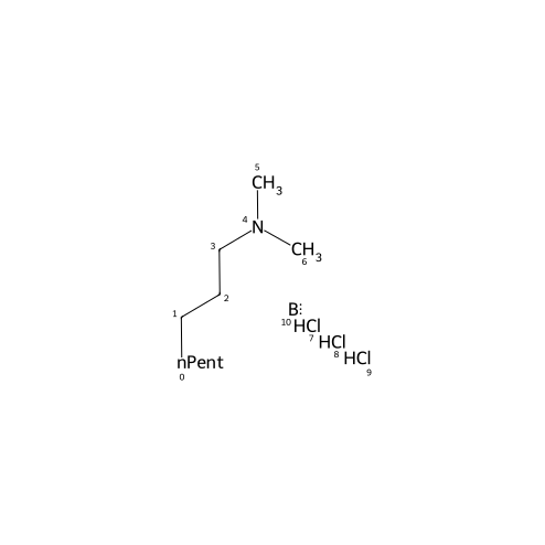 CCCCCCCCN(C)C.Cl.Cl.Cl.[B]